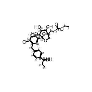 CCOC(=O)OC[C@@]12CO[C@@](c3ccc(Cl)c(Cc4ccc(C(=N)CC)cc4)c3)(O1)[C@H](O)[C@@H](O)[C@@H]2O